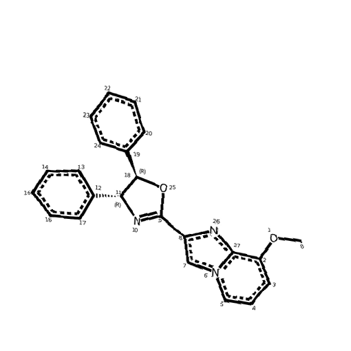 COc1cccn2cc(C3=N[C@H](c4ccccc4)[C@@H](c4ccccc4)O3)nc12